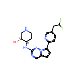 O[C@@H]1CNCC[C@H]1Nc1ncc2ccc(-c3ccc(CC(F)F)cn3)n2n1